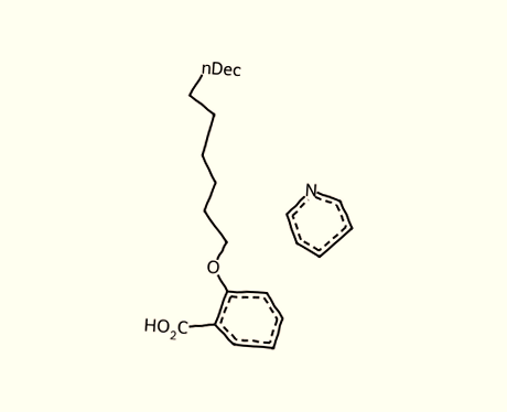 CCCCCCCCCCCCCCCCOc1ccccc1C(=O)O.c1ccncc1